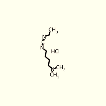 CCN=C=NCCCCN(C)C.Cl